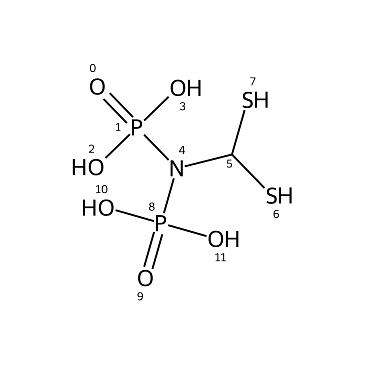 O=P(O)(O)N(C(S)S)P(=O)(O)O